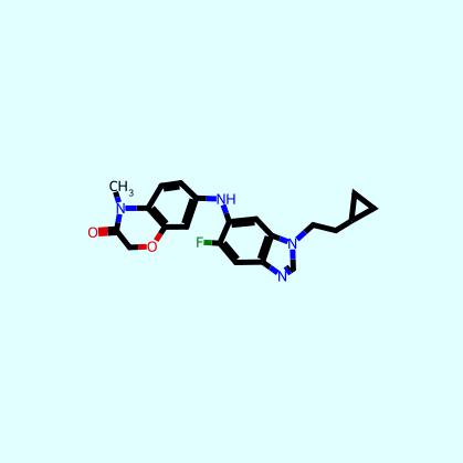 CN1C(=O)COc2cc(Nc3cc4c(cc3F)ncn4CCC3CC3)ccc21